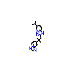 CC(C)c1ccc2nc(CC(C)(C)c3ccn4ncnc4c3)nn2c1